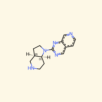 c1cc2cnc(N3CC[C@@H]4CNCC[C@@H]43)nc2cn1